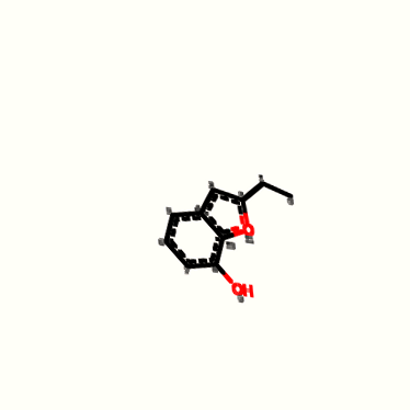 CCc1cc2cccc(O)c2o1